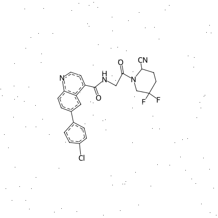 N#CC1CCC(F)(F)CN1C(=O)CNC(=O)c1ccnc2ccc(-c3ccc(Cl)cc3)cc12